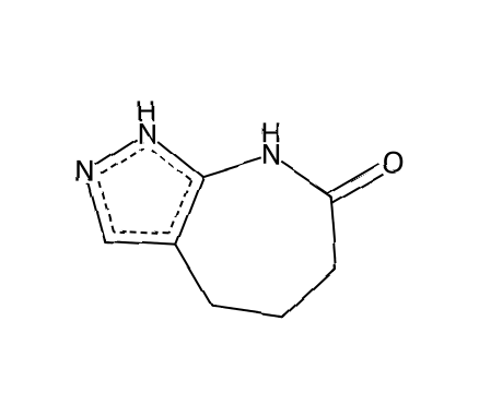 O=C1CCCc2cn[nH]c2N1